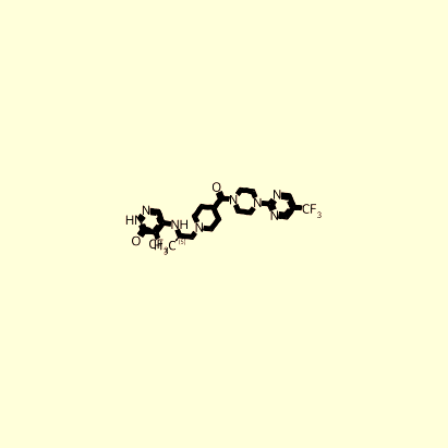 C[C@@H](CN1CCC(C(=O)N2CCN(c3ncc(C(F)(F)F)cn3)CC2)CC1)Nc1cn[nH]c(=O)c1C(F)(F)F